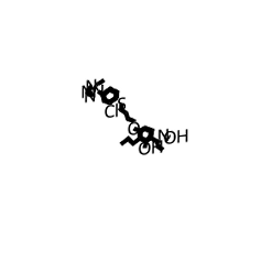 CCCc1c(OCCCCSc2ccc(-n3nnnc3C)cc2Cl)ccc(C(CC)=NO)c1O